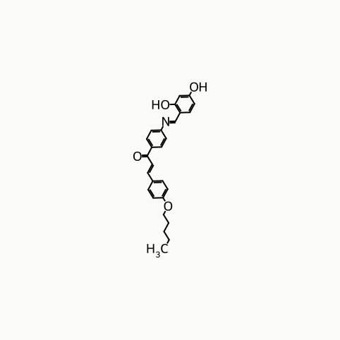 CCCCCOc1ccc(C=CC(=O)c2ccc(N=Cc3ccc(O)cc3O)cc2)cc1